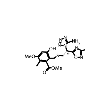 COC(=O)c1c(C)c(OC)cc(O)c1CSC[C@@H](c1nc(C)no1)n1nnnc1N